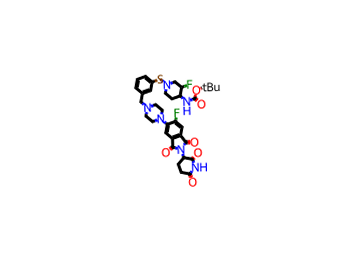 CC(C)(C)OC(=O)NC1CCN(Sc2cccc(CN3CCN(c4cc5c(cc4F)C(=O)N(C4CCC(=O)NC4=O)C5=O)CC3)c2)CC1F